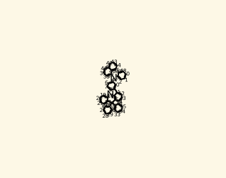 c1ccc(N(c2ccc3c(c2)c2cccc4c2n3-c2ccccc2C4(c2ccccc2)c2ccccc2)c2cccc3ccccc23)cc1